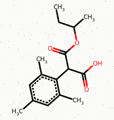 CCC(C)OC(=O)C(C(=O)O)c1c(C)cc(C)cc1C